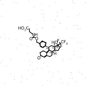 C[C@]12C[C@H](c3ccc(COC(=O)NCCC(=O)O)cc3)C3=C4CCC(=O)C=C4CC[C@H]3[C@@H]1CC[C@@]2(O)C(F)(F)C(F)(F)F